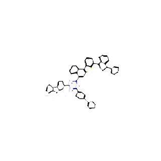 CC1(C)c2ccccc2-c2ccc(-c3nc(-c4ccc(-c5ccccc5)cc4)nc(-c4cc5sc6c(-c7ccc(-c8ccccc8)c8ccccc78)cccc6c5c5ccccc45)n3)cc21